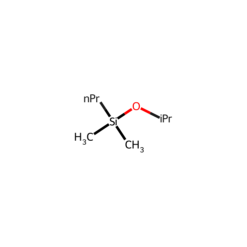 CCC[Si](C)(C)OC(C)C